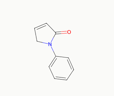 O=C1C=CCN1c1ccccc1